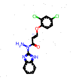 NN(C(=O)/C=C/Oc1ccc(Cl)cc1Cl)c1nc2ccccc2[nH]1